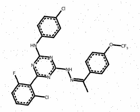 CC(=NNc1nc(Nc2ccc(Cl)cc2)nc(-c2c(F)cccc2Cl)n1)c1ccc(OC(F)(F)F)cc1